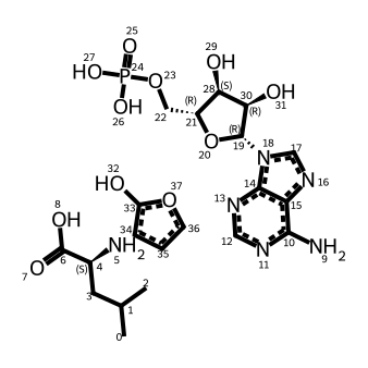 CC(C)C[C@H](N)C(=O)O.Nc1ncnc2c1ncn2[C@@H]1O[C@H](COP(=O)(O)O)[C@@H](O)[C@H]1O.Oc1ccco1